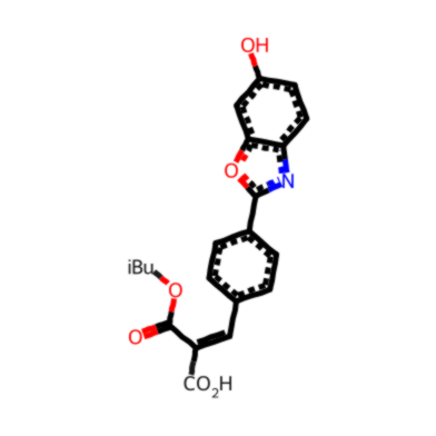 CCC(C)OC(=O)C(=Cc1ccc(-c2nc3ccc(O)cc3o2)cc1)C(=O)O